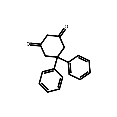 O=C1CC(=O)CC(c2ccccc2)(c2ccccc2)C1